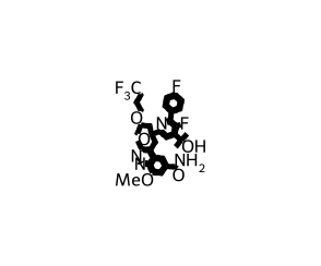 COc1cc(C(N)=O)cc2c(CC3(c4cc(C(C)(C)O)c(F)c(-c5ccc(F)cc5)n4)CC(OCCCC(F)(F)F)CO3)c(C)nnc12